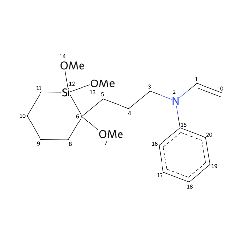 C=CN(CCCC1(OC)CCCC[Si]1(OC)OC)c1ccccc1